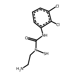 NCCN(S)C(=O)Nc1cccc(Cl)c1Cl